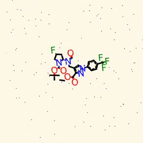 CCOC(=O)c1nn(-c2ccc(C(F)(F)F)cc2)cc1CN(C=O)[C@@H]1C[C@@H](F)CN1C(=O)OC(C)(C)C